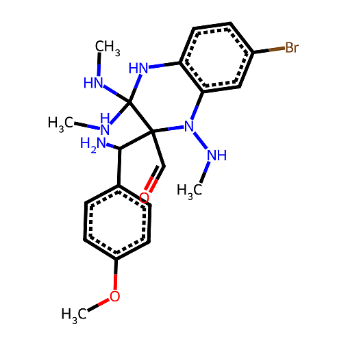 CNN1c2cc(Br)ccc2NC(NC)(NC)C1(C=O)C(N)c1ccc(OC)cc1